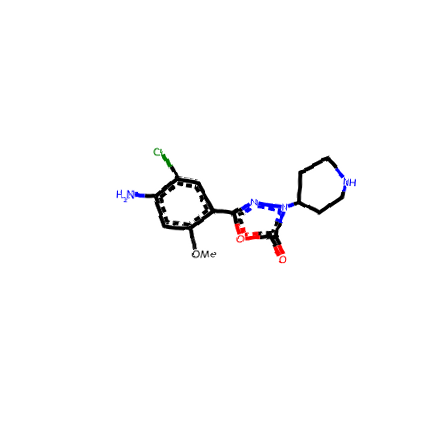 COc1cc(N)c(Cl)cc1-c1nn(C2CCNCC2)c(=O)o1